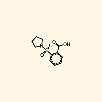 O=C(O)c1ccccc1S(=O)(=O)N1CCCC1